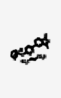 Cc1n[nH]c2ccc(-c3ccc(O[C@H]4CN5CCC4CC5)nn3)cc12.O=C(O)C=CC(=O)O